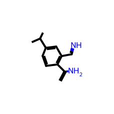 C=C(N)c1ccc(C(C)C)cc1C=N